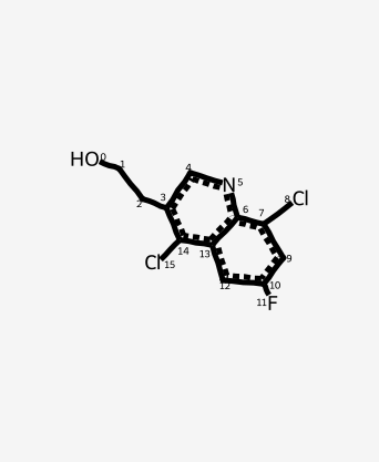 OCCc1cnc2c(Cl)cc(F)cc2c1Cl